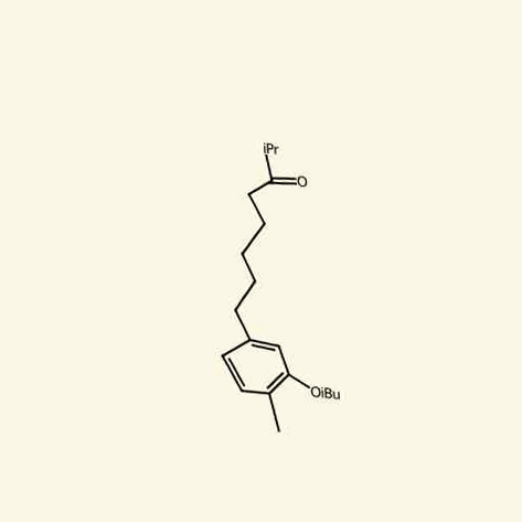 Cc1ccc(CCCCCC(=O)C(C)C)cc1OCC(C)C